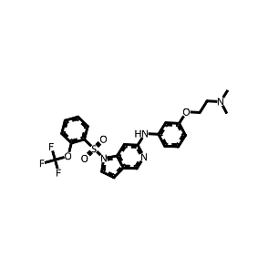 CN(C)CCOc1cccc(Nc2cc3c(ccn3S(=O)(=O)c3ccccc3OC(F)(F)F)cn2)c1